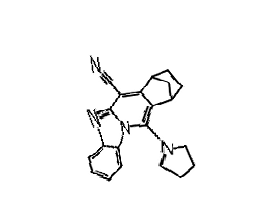 N#Cc1c2c(c(N3CCCC3)n3c1nc1ccccc13)C1CCC2C1